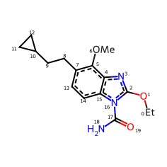 CCOc1nc2c(OC)c(CCC3CC3)ccc2n1C(N)=O